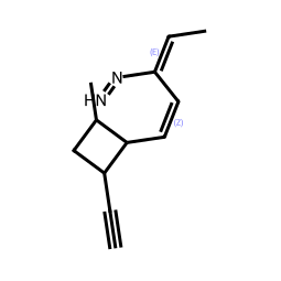 C#CC1CC(C)C1/C=C\C(=C/C)N=N